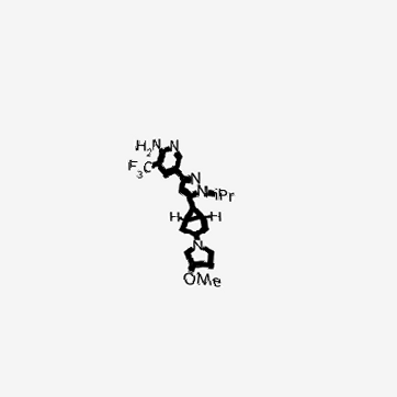 COC1CCN(C2C[C@@H]3C(c4cc(-c5cnc(N)c(C(F)(F)F)c5)nn4C(C)C)[C@@H]3C2)C1